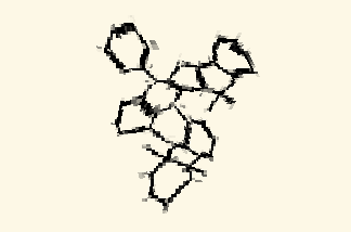 CC1(C)c2ccccc2-c2oc3c(c21)B1c2cccc4c2N(c2cccc(c21)N3c1ccccc1)C1(C)CCCCC41C